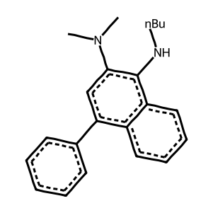 CCCCNc1c(N(C)C)cc(-c2ccccc2)c2ccccc12